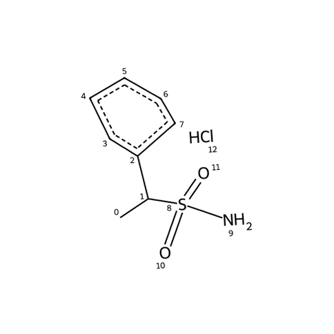 CC(c1ccccc1)S(N)(=O)=O.Cl